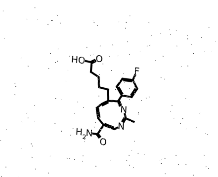 Cc1ncc(C(N)=O)cccc(CCCCC(=O)O)c(-c2ccc(F)cc2)n1